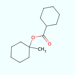 CC1(OC(=O)C2CCCCC2)CCCCC1